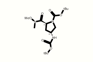 CON(C)C(=O)[C@@H]1C[C@@H](NC(=O)OC(C)(C)C)CN1C(=O)OC(C)(C)C